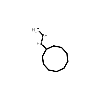 CBBC1CCCCCCCCC1